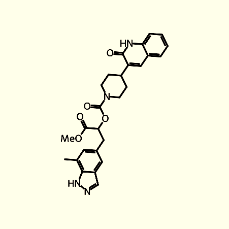 COC(=O)C(Cc1cc(C)c2[nH]ncc2c1)OC(=O)N1CCC(c2cc3ccccc3[nH]c2=O)CC1